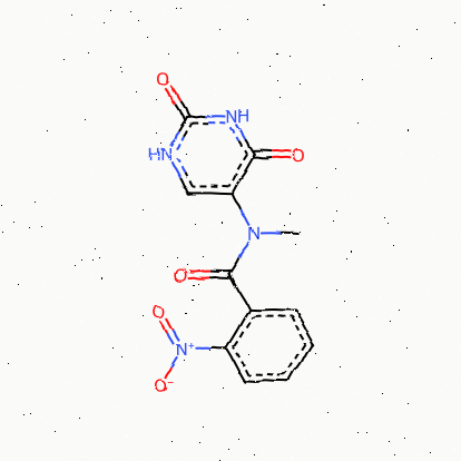 CN(C(=O)c1ccccc1[N+](=O)[O-])c1c[nH]c(=O)[nH]c1=O